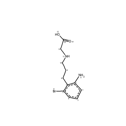 Nc1cccc(Br)c1CCCNCC(=O)O